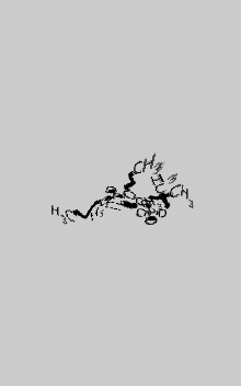 CCCCOP(=O)(OCCCC)C(C)(C)OP1(=O)OCC(C)(C)CO1